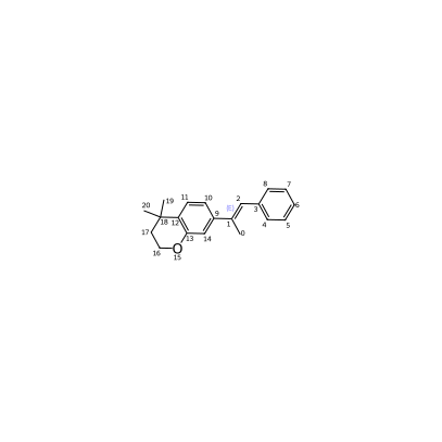 C/C(=C\c1ccccc1)c1ccc2c(c1)OCCC2(C)C